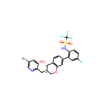 O=S(=O)(Nc1ccc(F)cc1-c1ccc2c(c1)OC[C@@H](Cc1ccc(Br)cn1)[C@@H]2O)C(F)(F)F